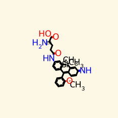 COc1ccccc1C1=C2C=CC(=N)C=C2[Si](C)(C)c2cc(NC(=O)CC[C@H](N)C(=O)O)ccc21